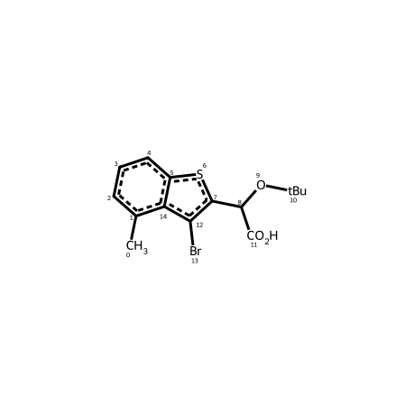 Cc1cccc2sc(C(OC(C)(C)C)C(=O)O)c(Br)c12